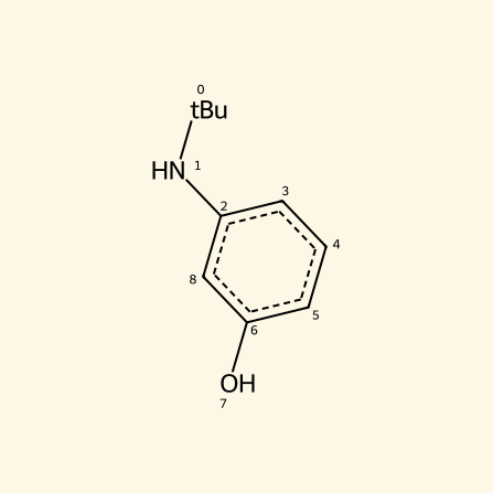 CC(C)(C)Nc1cccc(O)c1